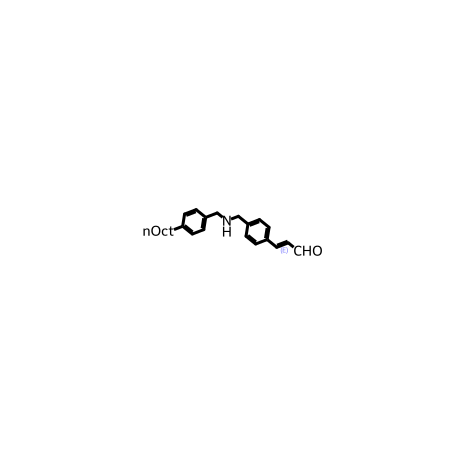 CCCCCCCCc1ccc(CNCc2ccc(/C=C/C=O)cc2)cc1